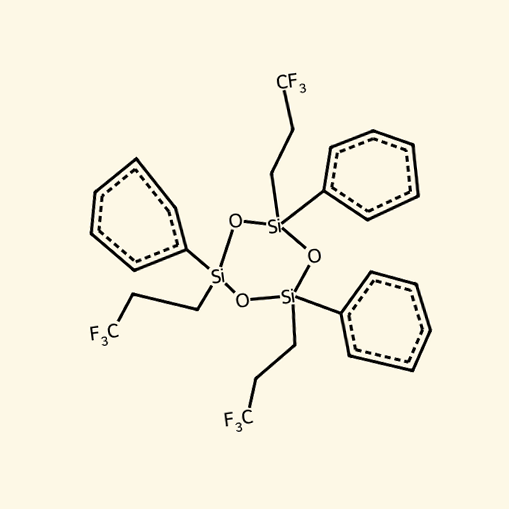 FC(F)(F)CC[Si]1(c2ccccc2)O[Si](CCC(F)(F)F)(c2ccccc2)O[Si](CCC(F)(F)F)(c2ccccc2)O1